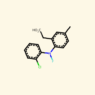 Cc1ccc(N(F)c2ccccc2Cl)c(CC(=O)O)c1